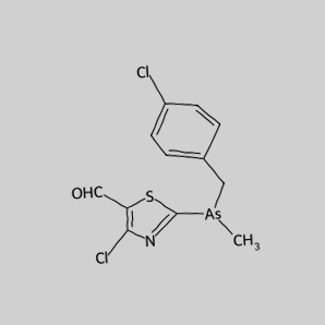 C[As](Cc1ccc(Cl)cc1)c1nc(Cl)c(C=O)s1